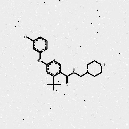 O=C(NCC1CCNCC1)c1cnc(Nc2cccc(Cl)c2)nc1C(F)(F)F